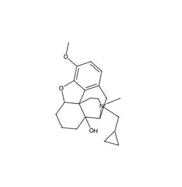 COc1ccc2c3c1OC1CCCC4(O)C(C2)[N+](C)(CC2CC2)CCC314